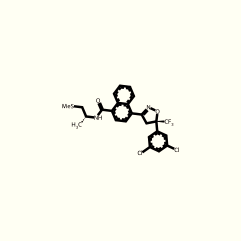 CSC[C@@H](C)NC(=O)c1ccc(C2=NO[C@@](c3cc(Cl)cc(Cl)c3)(C(F)(F)F)C2)c2ccccc12